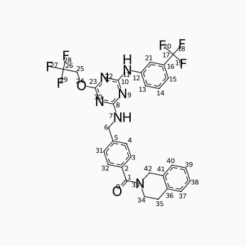 O=C(c1ccc(CNc2nc(Nc3cccc(C(F)(F)F)c3)nc(OCC(F)(F)F)n2)cc1)N1CCc2ccccc2C1